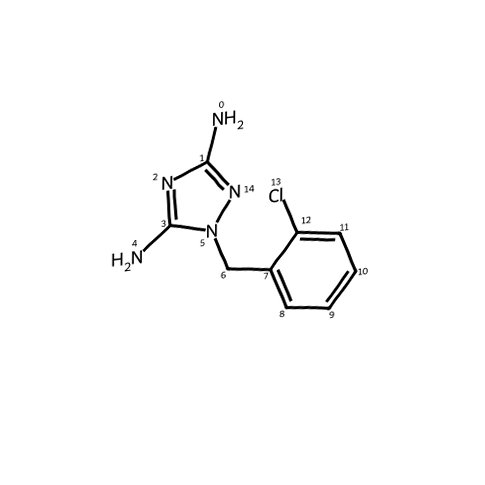 Nc1nc(N)n(Cc2ccccc2Cl)n1